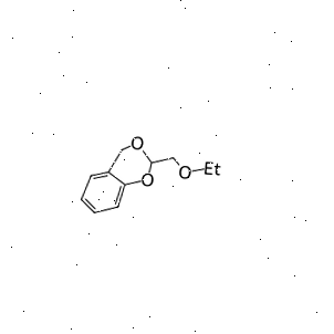 CCOCC1OCc2ccccc2O1